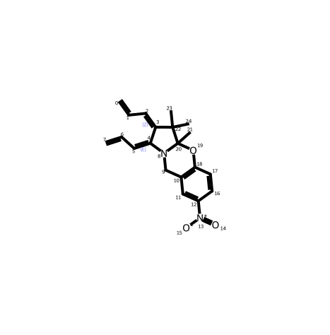 C=C/C=C1\C(=C/C=C)N2Cc3cc([N+](=O)[O-])ccc3OC2(C)C1(C)C